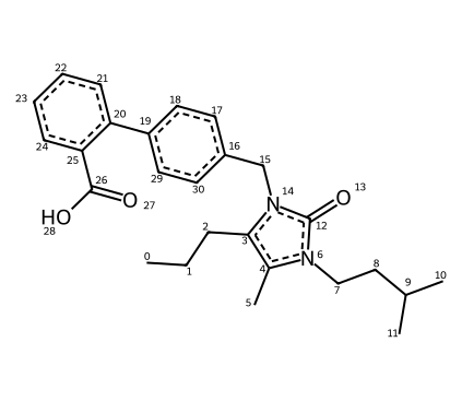 CCCc1c(C)n(CCC(C)C)c(=O)n1Cc1ccc(-c2ccccc2C(=O)O)cc1